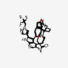 CN1C(=O)C2(CCN(C3(CC#N)CCC3)CC2)c2c1cnc1[nH]c(-c3cnn(CC(F)(F)F)c3)c(-c3ccc4c(cnn4C)c3)c21